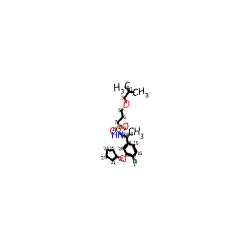 CC(C)COCCCS(=O)(=O)N[C@H](C)c1ccc(F)c(OC2CCCC2)c1